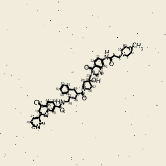 CN1CCN(CCC(=O)Nc2ccc3c(=O)n(CC4(O)CCN(C(=O)C(CCCNC(=O)c5ccc6c(Cl)cc(-c7cccnc7)nc6c5)Cc5ccccc5)CC4)cnc3c2)CC1